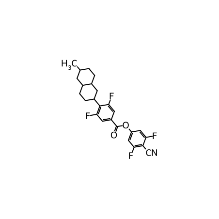 CC1CCC2CC(c3c(F)cc(C(=O)Oc4cc(F)c(C#N)c(F)c4)cc3F)CCC2C1